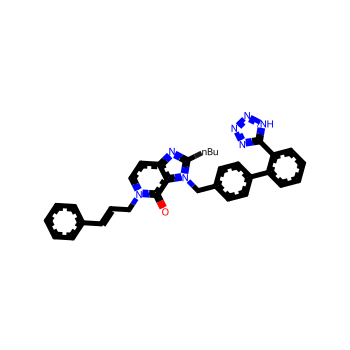 CCCCc1nc2ccn(CC=Cc3ccccc3)c(=O)c2n1Cc1ccc(-c2ccccc2-c2nnn[nH]2)cc1